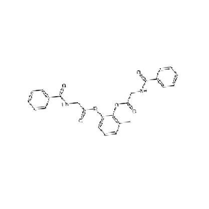 O=C(CNC(=O)c1ccccc1)Oc1cccc(I)c1OC(=O)CNC(=O)c1ccccc1